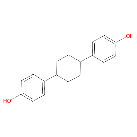 Oc1ccc(C2CCC(c3ccc(O)cc3)CC2)cc1